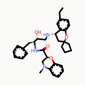 CCc1ccc2c(c1)[C@@H](NC[C@@H](O)[C@H](Cc1ccccc1)NC(=O)C1CN(C)c3ccccc3O1)CC1(CCCC1)O2